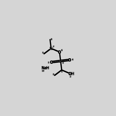 CC(O)S(=O)(=O)ON(C)C.[NaH]